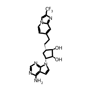 Nc1ncnc2c1ccn2[C@@H]1C[C@H](CCc2ccn3cc(C(F)(F)F)nc3c2)[C@@H](O)[C@H]1O